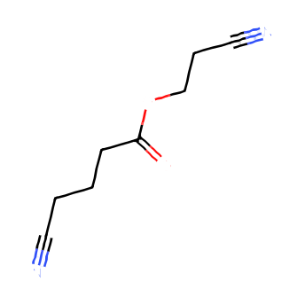 N#CCCCC(=O)OCCC#N